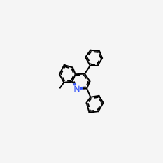 Cc1cccc2c(-c3ccccc3)cc(-c3ccccc3)nc12